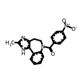 Cc1nc2c([nH]1)-c1ccccc1N(C(=O)c1ccc([N+](=O)[O-])cc1)CC2